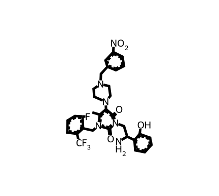 Cc1c(N2CCN(Cc3cccc([N+](=O)[O-])c3)CC2)c(=O)n(CC(N)c2ccccc2O)c(=O)n1Cc1c(F)cccc1C(F)(F)F